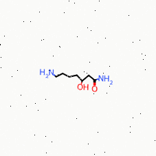 NCCCCC(O)CC(N)=O